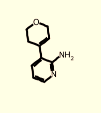 Nc1ncccc1C1=CCOCC1